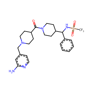 Nc1cc(CN2CCC(C(=O)N3CCC(C(NS(=O)(=O)C(F)(F)F)c4ccccc4)CC3)CC2)ccn1